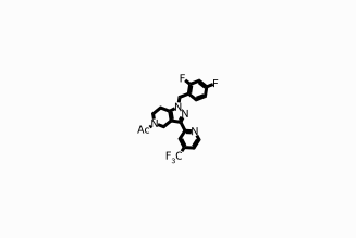 CC(=O)N1CCc2c(c(-c3cc(C(F)(F)F)ccn3)nn2Cc2ccc(F)cc2F)C1